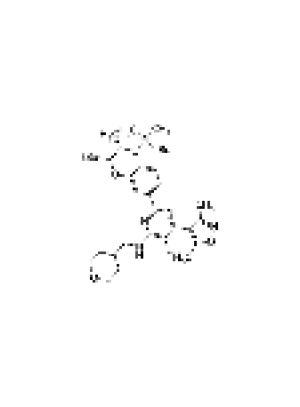 [CH2]C(O[Si](C)(C)C(C)(C)C)C(Oc1cccc(-c2nc(NCC3CCOCC3)c(F)c(-c3c(C)noc3C)n2)c1)C(C)(C)C